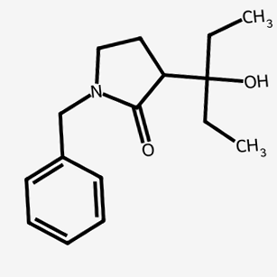 CCC(O)(CC)C1CCN(Cc2ccccc2)C1=O